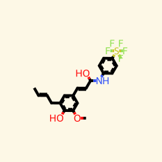 C/C=C/Cc1cc(/C=C/C(O)Nc2ccc(S(F)(F)(F)(F)F)cc2)cc(OC)c1O